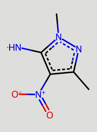 Cc1nn(C)c([NH])c1[N+](=O)[O-]